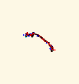 COC[C@H](c1cnn2cc([C@@H](NC(=O)c3ccnn3CCCCCCn3cc(COCCOCCOCCOCCOCCOCCNC(=O)COc4cccc(Oc5ccc(C(=O)N[C@@H](CCC(C)(C)C)C(=O)O)cn5)c4)nn3)C3CCC(F)(F)CC3)nc2c1)N1C[C@@H](C(F)(F)F)NC1=O